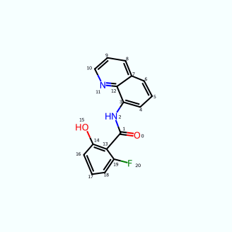 O=C(Nc1cccc2cccnc12)c1c(O)cccc1F